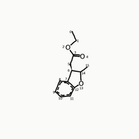 CCOC(=O)C[C@@H]1c2ccccc2OC1C